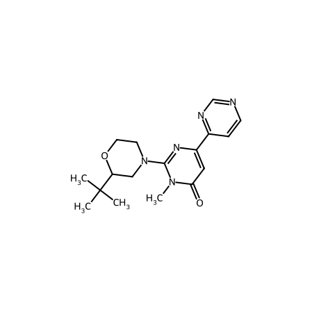 Cn1c(N2CCOC(C(C)(C)C)C2)nc(-c2ccncn2)cc1=O